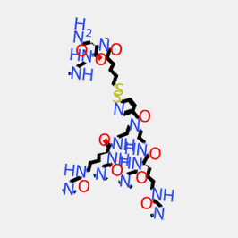 CNCCNC(=O)[C@H](CC(N)=O)N(C)C(=O)CCCCCSSc1ccc(C(=O)N(CCCNC(=O)[C@H](CCCCNC(=O)CN(C)C)NC(=O)CN(C)C)CCCNC(=O)[C@H](CCCCNC(=O)CN(C)C)NC(=O)CN(C)C)cn1